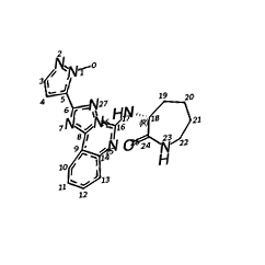 Cn1nccc1-c1nc2c3ccccc3nc(N[C@@H]3CCCCNC3=O)n2n1